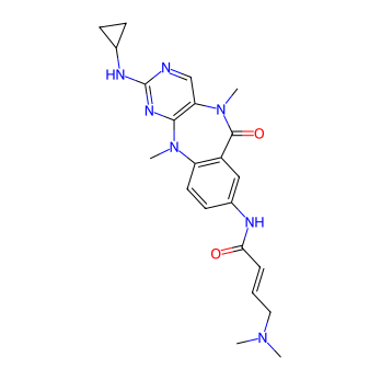 CN(C)C/C=C/C(=O)Nc1ccc2c(c1)C(=O)N(C)c1cnc(NC3CC3)nc1N2C